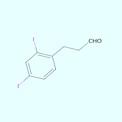 O=CCCc1ccc(I)cc1I